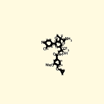 COc1cc(C(=O)NC[C@](O)(c2cc3c(c(-c4ccc(F)c(Cl)c4)n2)OC[C@]3(C)C(N)=O)C(F)(F)F)ccc1OC1CC1